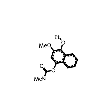 CCOc1c(OC)cc(OC(=O)NC)c2ccccc12